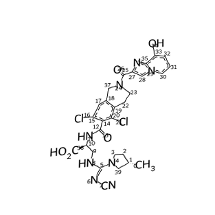 C[C@H]1CCN(C(=NC#N)NC[C@H](NC(=O)c2c(Cl)cc3c(c2Cl)CCN(C(=O)c2cn4cccc(O)c4n2)C3)C(=O)O)C1